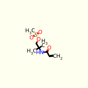 C=CC(=O)NC(C)(C)COS(C)(=O)=O